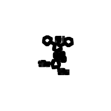 CC(C)(C)c1cc(C(C)(C)C)cc(S(=O)(=O)Oc2cc(C3CCCCC3)c(S)c(C3CCCCC3)c2)c1